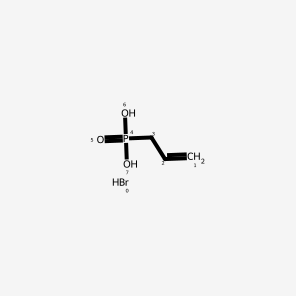 Br.C=CCP(=O)(O)O